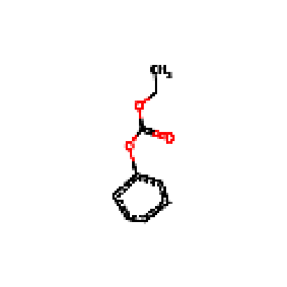 CCOC(=O)Oc1c[c]ccc1